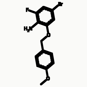 COc1ccc(COc2cc(Br)cc(F)c2N)cc1